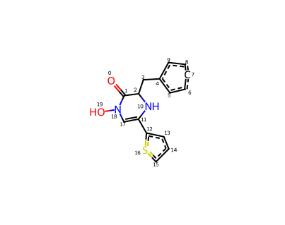 O=C1C(Cc2ccccc2)NC(c2cccs2)=CN1O